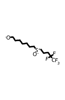 [O]CCCCCCC[S+]([O-])CCCC(F)(F)C(F)(F)F